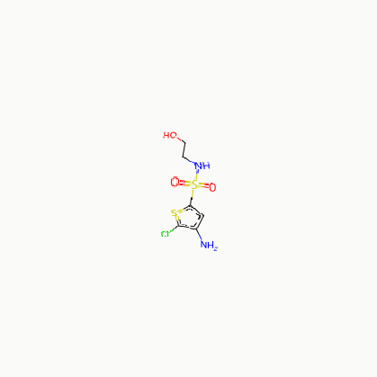 Nc1cc(S(=O)(=O)NCCO)sc1Cl